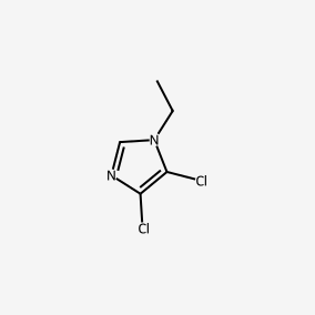 CCn1cnc(Cl)c1Cl